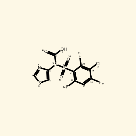 O=C(O)N(c1cscn1)S(=O)(=O)c1c(F)cc(F)c(Cl)c1F